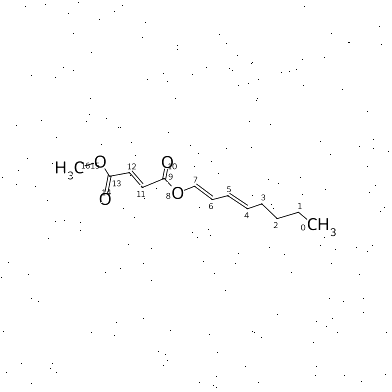 CCCC/C=C/C=C/OC(=O)/C=C/C(=O)OC